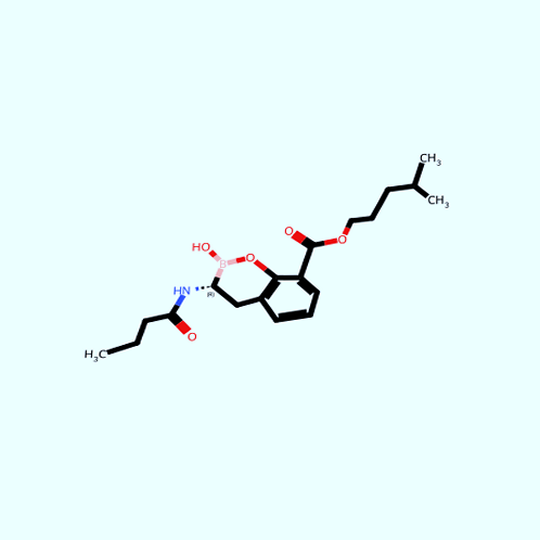 CCCC(=O)N[C@H]1Cc2cccc(C(=O)OCCCC(C)C)c2OB1O